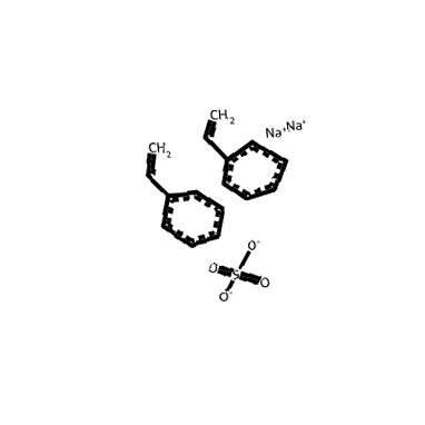 C=Cc1ccccc1.C=Cc1ccccc1.O=S(=O)([O-])[O-].[Na+].[Na+]